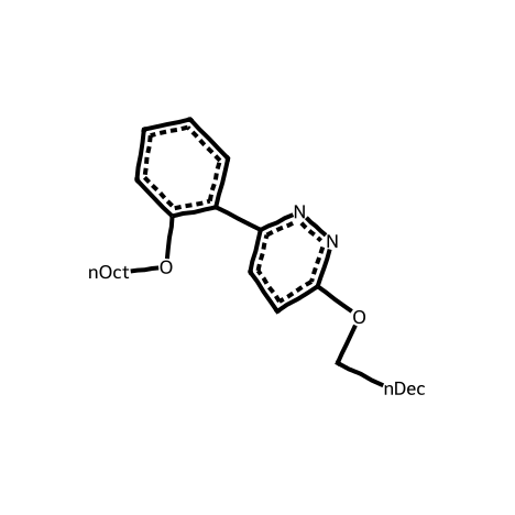 CCCCCCCCCCCOc1ccc(-c2ccccc2OCCCCCCCC)nn1